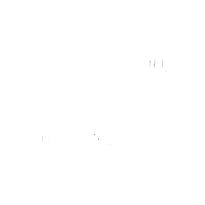 NCCCC(N)CS